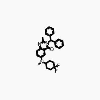 Cc1nc2ccc(N(C)C3CCC(F)(F)CC3)cc2c(=O)n1C(c1ccccc1)c1ccccc1